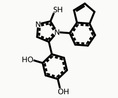 Oc1ccc(-c2cnc(S)n2-c2cccc3c2C=CC3)c(O)c1